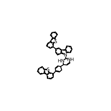 C1=CC(C2C=CC(c3cccc4c3sc3ccccc34)=CC2)NC(n2c3ccccc3c3cc(-c4cccc5c4sc4ccccc45)ccc32)N1